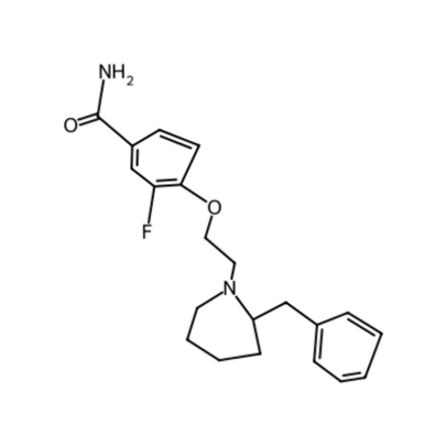 NC(=O)c1ccc(OCCN2CCCCC2Cc2ccccc2)c(F)c1